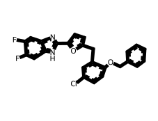 Fc1cc2nc(-c3ccc(Cc4cc(Cl)ccc4OCc4ccccc4)o3)[nH]c2cc1F